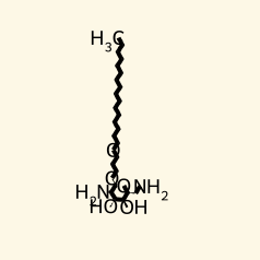 CCCCCCCCCCCCCCCCOCCCO[C@@H]1O[C@H](CN)[C@@H](O)[C@H](O)[C@H]1N